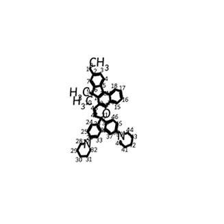 CCc1ccc2c(c1)C(C)(C)c1c3c(c4ccccc4c1-2)OC(c1ccc(N2CCCCC2)cc1)(c1ccc(N2CCCCC2)cc1)C=C3